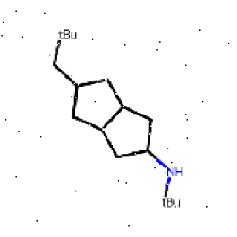 CC(C)(C)CC1CC2CC(NC(C)(C)C)CC2C1